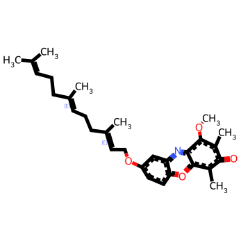 COc1c2nc3cc(OC/C=C(\C)CC/C=C(\C)CCC=C(C)C)ccc3oc-2c(C)c(=O)c1C